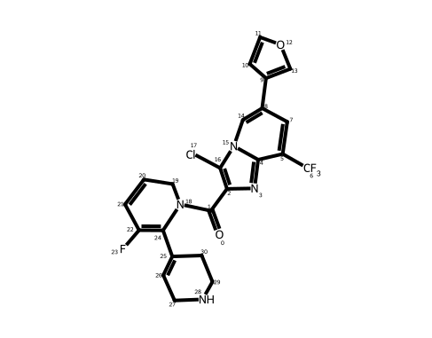 O=C(c1nc2c(C(F)(F)F)cc(-c3ccoc3)cn2c1Cl)N1CC=CC(F)=C1C1=CCNCC1